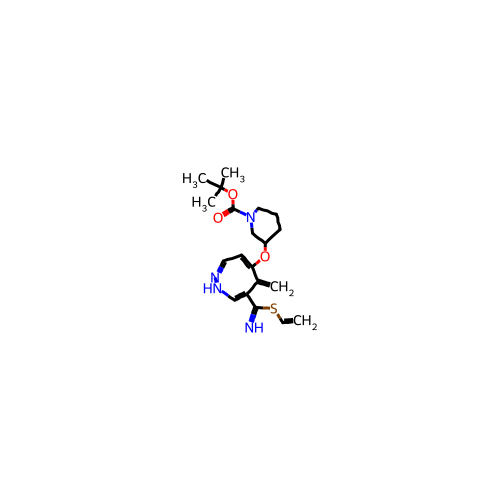 C=CSC(=N)/C1=C/N/N=C\C=C(\OC2CCCN(C(=O)OC(C)(C)C)C2)C1=C